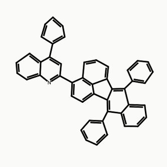 c1ccc(-c2cc(-c3ccc4c5c(cccc35)-c3c-4c(-c4ccccc4)c4ccccc4c3-c3ccccc3)nc3ccccc23)cc1